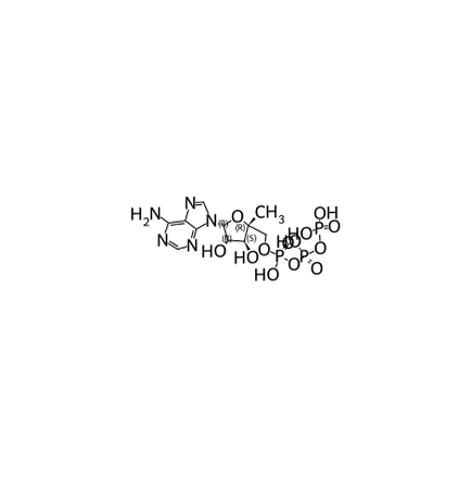 C[C@]1(COP(=O)(O)OP(=O)(O)OP(=O)(O)O)O[C@@H](n2cnc3c(N)ncnc32)[C@H](O)[C@@H]1O